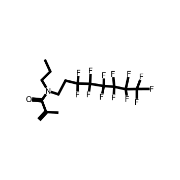 C=C(C)C(=O)N(CCC)CCC(F)(F)C(F)(F)C(F)(F)C(F)(F)C(F)(F)C(F)(F)F